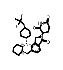 CC(F)(F)C[C@H]1CC[C@H](N[C@H]2CCCC[C@@H]2Cc2ccc3c(c2)CN(C2CCC(=O)NC2=O)C3=O)CC1